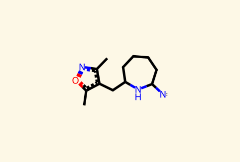 Cc1noc(C)c1CC1CCCCC([N])N1